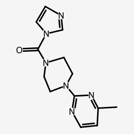 Cc1ccnc(N2CCN(C(=O)n3ccnc3)CC2)n1